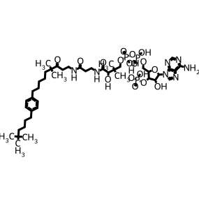 CC(C)(C)CCCCc1ccc(CCCCCC(C)(C)C(=O)CCNC(=O)CCNC(=O)C(O)C(C)(C)COP(=O)(O)OP(=O)(O)OCC2OC(n3cnc4c(N)ncnc43)C(O)C2OP(=O)(O)O)cc1